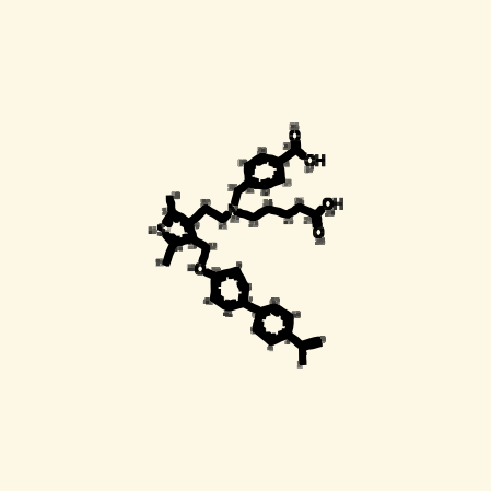 C=C(C)c1ccc(-c2ccc(OCc3c(C)sc(C)c3CCN(CCCCC(=O)O)Cc3ccc(C(=O)O)cc3)cc2)cc1